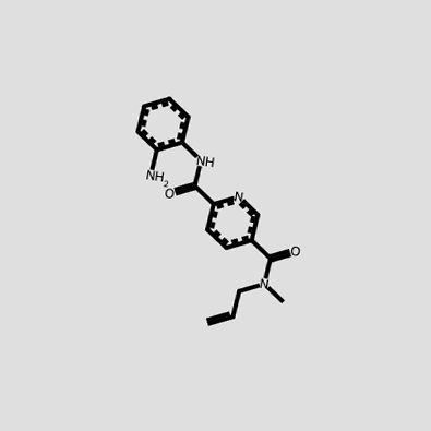 C=CCN(C)C(=O)c1ccc(C(=O)Nc2ccccc2N)nc1